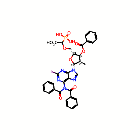 C[C@@H]1[C@H](OC(=O)c2ccccc2)[C@@H](COC(C(=O)O)P(=O)(O)O)O[C@H]1n1cnc2c(N(C(=O)c3ccccc3)C(=O)c3ccccc3)nc(I)nc21